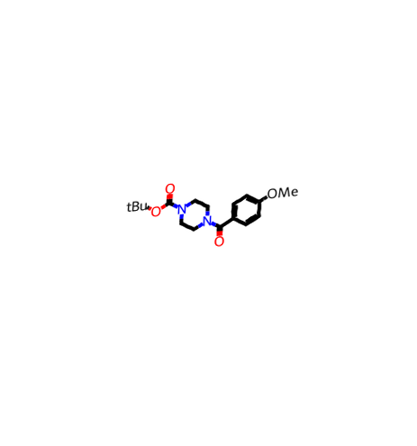 COc1ccc(C(=O)N2CCN(C(=O)OC(C)(C)C)CC2)cc1